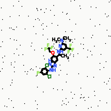 C=C(Nc1cc(C(F)(F)F)cc(N(C)C)n1)c1cc2nc(Nc3c(Cl)cc(F)cc3Cl)[nH]c2cc1OCC(F)(F)F